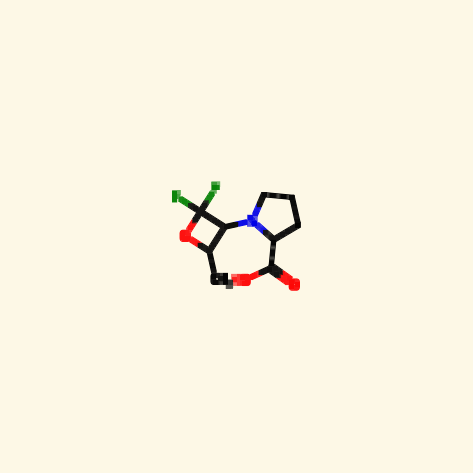 CC1OC(F)(F)C1N1CCCC1C(=O)O